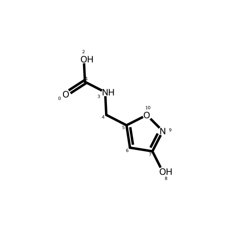 O=C(O)NCc1cc(O)no1